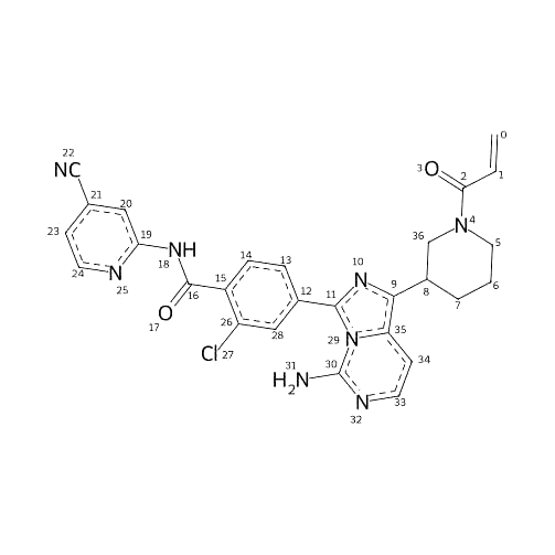 C=CC(=O)N1CCCC(c2nc(-c3ccc(C(=O)Nc4cc(C#N)ccn4)c(Cl)c3)n3c(N)nccc23)C1